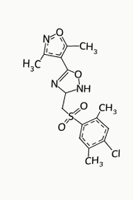 Cc1cc(S(=O)(=O)CC2N=C(c3c(C)noc3C)ON2)c(C)cc1Cl